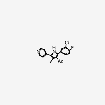 CC(=O)c1c(-c2ccc(F)c(Cl)c2)[nH]c(-c2ccncc2)c1C